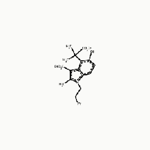 CCOC(=O)c1c(C)n(CCC(C)C)c2ccc(O)c(C(C)(C)C(=O)OCC)c12